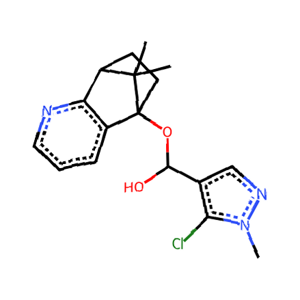 Cn1ncc(C(O)OC23CCC(c4ncccc42)C3(C)C)c1Cl